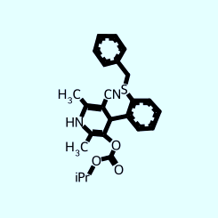 CC1=C(C#N)C(c2ccccc2SCc2ccccc2)C(OC(=O)OC(C)C)=C(C)N1